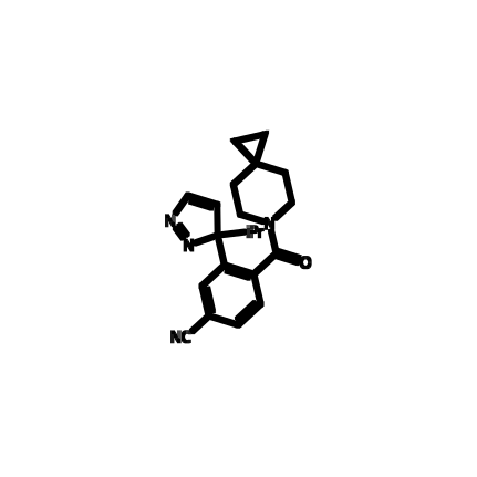 CC(C)C1(c2cc(C#N)ccc2C(=O)N2CCC3(CC2)CC3)C=CN=N1